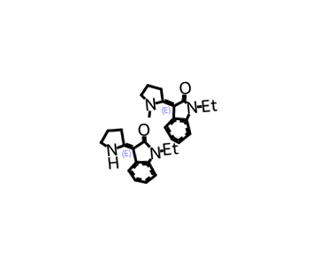 CCN1C(=O)/C(=C2\CCCN2)c2ccccc21.CCN1C(=O)/C(=C2\CCCN2C)c2ccccc21